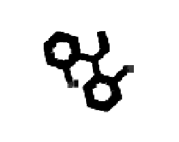 C=CC(c1ccccc1S)c1ccccc1S